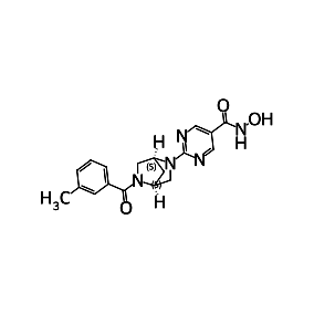 Cc1cccc(C(=O)N2C[C@@H]3C[C@H]2CN3c2ncc(C(=O)NO)cn2)c1